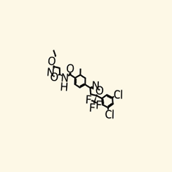 CCOC1=NO[C@H](NC(=O)C2=CC=C(C3=NO[C@@](c4cc(Cl)cc(Cl)c4)(C(F)(F)F)C3)CC2C)C1